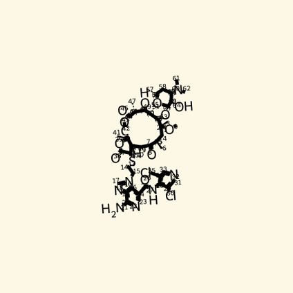 CO[C@]1(C)C[C@@H](C)C(=O)[C@H](C)[C@H]2C(SCCn3cnc4c(N)ncc(C(=O)Nc5c(Cl)cncc5Cl)c43)C(=O)O[C@]2(C)COC(=O)[C@H](C)[C@@H](O)[C@H](C)[C@H]1O[C@@H]1O[C@H](C)C[C@H](N(C)C)[C@H]1O